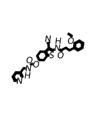 CCOc1ccccc1CCC(=O)Nc1sc2c(c1C#N)CCC(OC(=O)NCc1cccnc1)C2